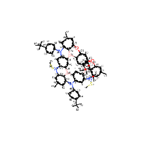 CSN1c2cc3c(cc2B2c4cc(C(C)(C)C)ccc4Oc4cc(C)cc1c42)B1c2cc4c(cc2N(SC)c2cc(C)cc(c21)N3c1ccc(C(C)(C)C)cc1)N(c1ccc(C(C)(C)C)cc1)c1cc(C)cc2c1B4c1cc(C(C)(C)C)ccc1O2